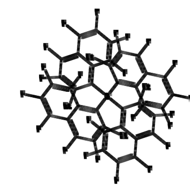 CCc1c(F)c(F)c2c(F)c(F)c(F)c(F)c2c1[B-](c1c(CC)c(F)c(F)c2c(F)c(F)c(F)c(F)c12)(c1c(CC)c(F)c(F)c2c(F)c(F)c(F)c(F)c12)c1c(CC)c(F)c(F)c2c(F)c(F)c(F)c(F)c12